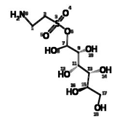 NCCS(=O)(=O)OC(O)[C@H](O)[C@@H](O)[C@H](O)[C@H](O)CO